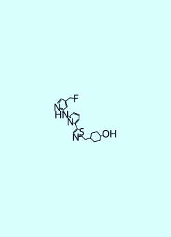 OC1CCC(Cc2ncc(-c3cccc(Nc4cc(CF)ccn4)n3)s2)CC1